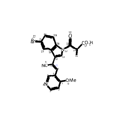 COc1ccncc1/C=C(\C#N)c1cn(C(=O)C(C)C(=O)O)c2ccc(Br)cc12